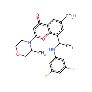 CC(Nc1cc(F)cc(F)c1)c1cc(C(=O)O)cc2c(=O)cc(N3CCOCC3C)oc12